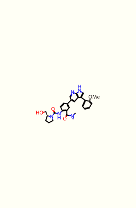 COc1ccccc1-c1c[nH]c2ncc(-c3ccc(NC(=O)N4CCC[C@H]4CO)c(C(=O)N(C)C)c3)cc12